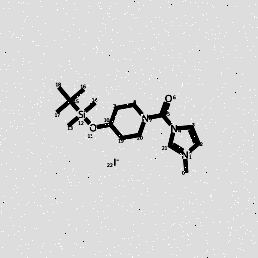 C[n+]1ccn(C(=O)N2CCC(O[Si](C)(C)C(C)(C)C)CC2)c1.[I-]